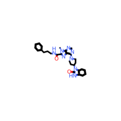 Cn1c(C(=O)NCCCc2ccccc2)nc2c(N3CCC(n4c(=O)[nH]c5ccccc54)CC3)ncnc21